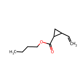 C=CC1CC1C(=O)OCCCC